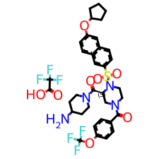 NC1CCN(C(=O)[C@@H]2CN(C(=O)c3ccc(OC(F)(F)F)cc3)CCN2S(=O)(=O)c2ccc3cc(OC4CCCC4)ccc3c2)CC1.O=C(O)C(F)(F)F